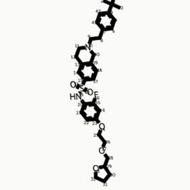 CC(C)(C)c1ccc(CCN2CCc3cc(S(=O)(=O)Nc4ccc(OCCOCC5CCCO5)cc4F)ccc3C2)cc1